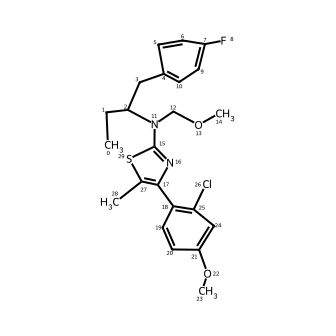 CCC(Cc1ccc(F)cc1)N(COC)c1nc(-c2ccc(OC)cc2Cl)c(C)s1